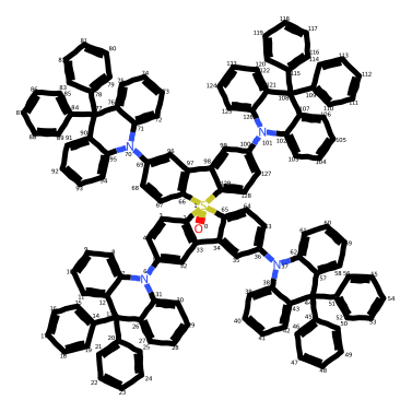 O=S12(c3ccc(N4c5ccccc5C(c5ccccc5)(c5ccccc5)c5ccccc54)cc3-c3cc(N4c5ccccc5C(c5ccccc5)(c5ccccc5)c5ccccc54)ccc31)c1ccc(N3c4ccccc4C(c4ccccc4)(c4ccccc4)c4ccccc43)cc1-c1cc(N3c4ccccc4C(c4ccccc4)(c4ccccc4)c4ccccc43)ccc12